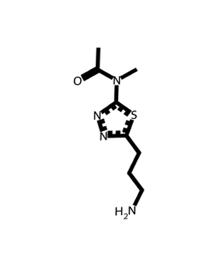 CC(=O)N(C)c1nnc(CCCN)s1